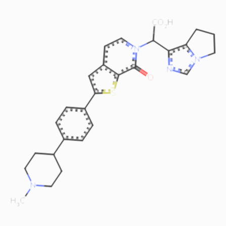 CN1CCC(c2ccc(-c3cc4ccn(C(C(=O)O)c5ncn6c5CCC6)c(=O)c4s3)cc2)CC1